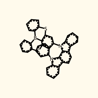 c1ccc(-n2c3ccccc3c3ccc4c5ccccc5n(-c5cc6c7c(c5)Sc5ccccc5B7c5ccccc5S6)c4c32)cc1